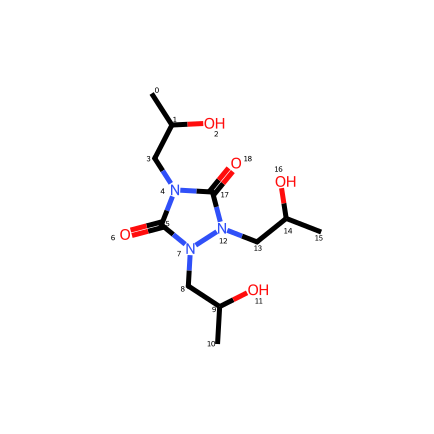 CC(O)Cn1c(=O)n(CC(C)O)n(CC(C)O)c1=O